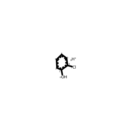 Oc1ccccc1Cl.[H+]